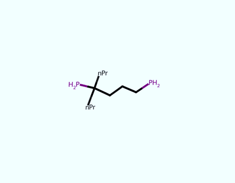 CCCC(P)(CCC)CCCP